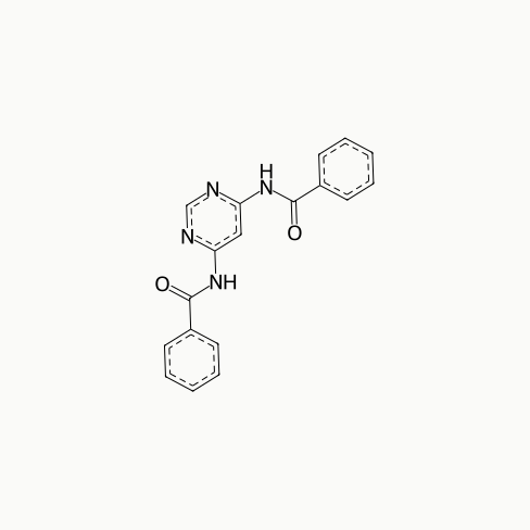 O=C(Nc1cc(NC(=O)c2ccccc2)ncn1)c1ccccc1